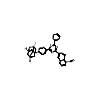 N#Cc1cccc2cc(-c3nc(-c4ccccc4)nc(-c4ccc(C56C[C@H]7C[C@@H](C5)C[C@@H](C6)C7)cc4)n3)ccc12